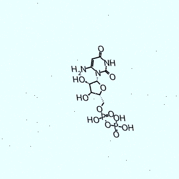 Nc1cc(=O)[nH]c(=O)n1[C@@H]1O[C@H](COP(=O)(O)OP(=O)(O)O)[C@@H](O)[C@H]1O